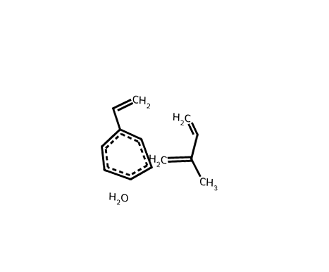 C=CC(=C)C.C=Cc1ccccc1.O